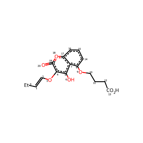 CCC=COc1c(O)c2c(OCCCC(=O)O)cccc2oc1=O